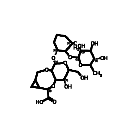 CC1O[C@@H](OC2[C@H](C)CCC[C@H]2O[C@@H]2OC(CO)[C@H](O)C3O[C@@H](C(=O)O)C4CC4COC32)[C@@H](O)C(O)[C@@H]1O